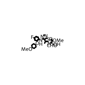 COC(=O)[C@H](CO)N(C=O)c1sc2ncnc(Nc3ccc(F)cc3OC3CCC(OC)CC3)c2c1C